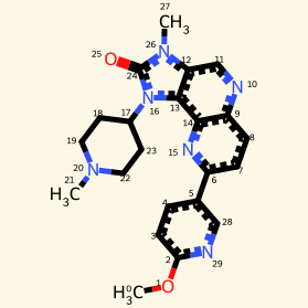 COc1ccc(-c2ccc3ncc4c(c3n2)n(C2CCN(C)CC2)c(=O)n4C)cn1